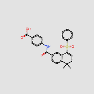 CC1(C)CC=C(S(=O)(=O)c2ccccc2)c2cc(C(=O)Nc3ccc(C(=O)O)cc3)ccc21